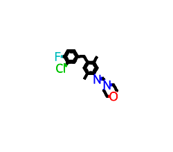 Cc1cc(N=CN2CCOCC2)c(C)cc1Cc1ccc(F)c(Cl)c1